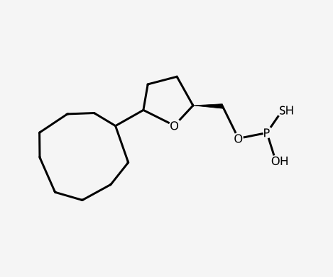 OP(S)OC[C@@H]1CCC(C2CCCCCCCC2)O1